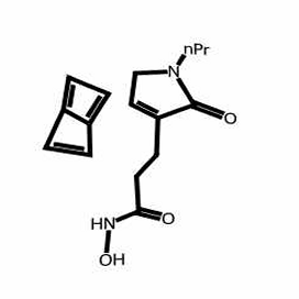 CCCN1CC=C(CCC(=O)NO)C1=O.c1cc2ccc1-2